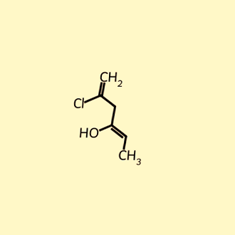 C=C(Cl)C/C(O)=C/C